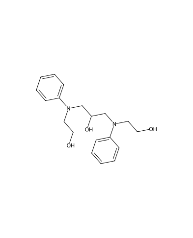 OCCN(CC(O)CN(CCO)c1ccccc1)c1ccccc1